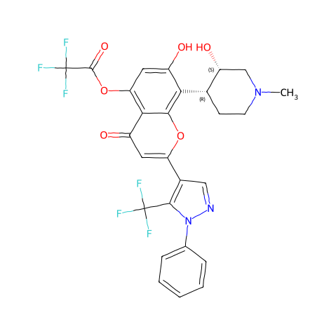 CN1CC[C@H](c2c(O)cc(OC(=O)C(F)(F)F)c3c(=O)cc(-c4cnn(-c5ccccc5)c4C(F)(F)F)oc23)[C@H](O)C1